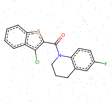 O=C(c1sc2ccccc2c1Cl)N1CCCc2cc(F)ccc21